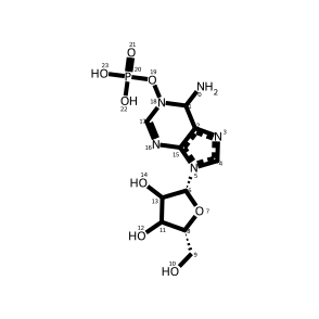 NC1c2ncn([C@@H]3O[C@H](CO)C(O)C3O)c2N=CN1OP(=O)(O)O